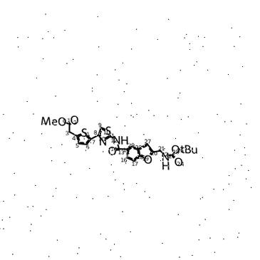 COC(=O)Cc1ccc(-c2csc(NC(=O)c3ccc4oc(CNC(=O)OC(C)(C)C)cc4c3)n2)s1